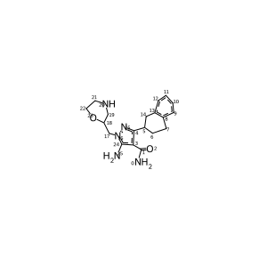 NC(=O)c1c(C2CCc3ccccc3C2)nn(CC2CNCCO2)c1N